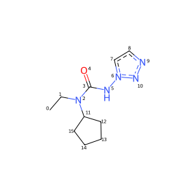 CCN(C(=O)Nn1ccnn1)C1CCCC1